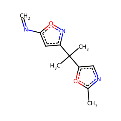 C=Nc1cc(C(C)(C)c2cnc(C)o2)no1